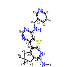 CCN(C)c1nc2sc3c(NCc4cccnc4)ncnc3c2c2c1CC(C)(C)C2